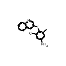 Cc1cc(N)cc(Cl)c1Oc1cnc2ccccc2c1